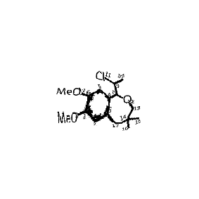 COc1cc2c(cc1OC)C(C(C)Cl)OCC(C)(C)C2